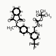 C[C@H](c1ccc(-c2cc(C(F)(F)F)cnc2CNC(=O)OC(C)(C)C)cc1)N1C(=O)c2ccccc2C1=O